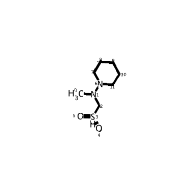 CN(C[SH](=O)=O)N1C[CH]CCC1